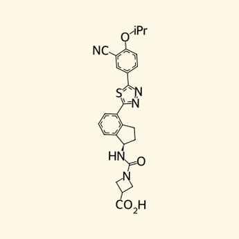 CC(C)Oc1ccc(-c2nnc(-c3cccc4c3CC[C@H]4NC(=O)N3CC(C(=O)O)C3)s2)cc1C#N